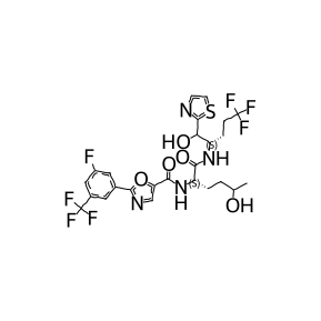 CC(O)CC[C@H](NC(=O)c1cnc(-c2cc(F)cc(C(F)(F)F)c2)o1)C(=O)N[C@@H](CCC(F)(F)F)C(O)c1nccs1